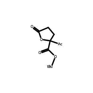 CC(=O)C1(C(=O)OC(C)(C)C)CCC(=O)O1